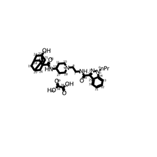 CCCn1nc(C(=O)NCCN2CCC(NC(=O)C34CC5CC(CC(O)(C5)C3)C4)CC2)c2ccccc21.O=C(O)C(=O)O